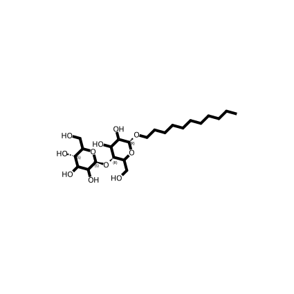 CCCCCCCCCCCO[C@@H]1OC(CO)[C@H](O[C@@H]2OC(CO)[C@@H](O)C(O)C2O)C(O)C1O